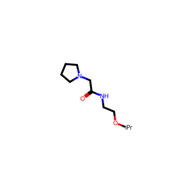 CC(C)OCCNC(=O)CN1CCCC1